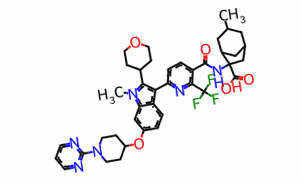 CC1CC2CC(C1)C(NC(=O)c1ccc(-c3c(C4CCOCC4)n(C)c4cc(OC5CCN(c6ncccn6)CC5)ccc34)nc1C(F)(F)F)(C(=O)O)C2